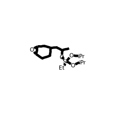 CC[Si](OC(C)C)(OC(C)C)OC(C)CC1CCC2OC2C1